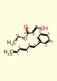 C=CC=CC=Cc1ccccc1.CCOC(=O)C=CO